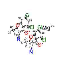 CC(C)(C)C(=O)C(C#N)=C([O-])c1ccc(Cl)cc1Cl.CC(C)(C)C(=O)C(C#N)=C([O-])c1ccc(Cl)cc1Cl.[Mg+2]